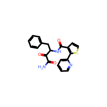 NC(=O)C(=O)C(Cc1ccccc1)NC(=O)c1ccsc1-c1ccccn1